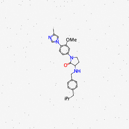 COc1cc(N2CCC(NCc3ccc(CC(C)C)cc3)C2=O)ccc1-n1cnc(C)c1